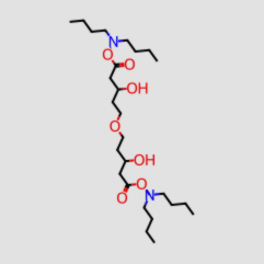 CCCCN(CCCC)OC(=O)CC(O)CCOCCC(O)CC(=O)ON(CCCC)CCCC